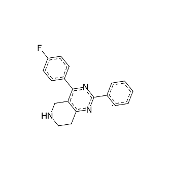 Fc1ccc(-c2nc(-c3[c]cccc3)nc3c2CNCC3)cc1